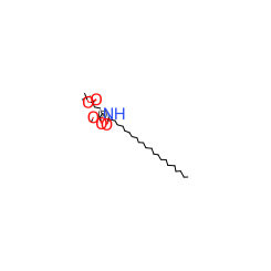 CCCCCCCCCCCCCCCCCCCCCC(=O)N[C@@H](CCC(=O)OC(C)(C)C)C(=O)OC